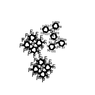 Fc1c(F)c(F)c([B-](c2c(F)c(F)c(F)c(F)c2F)(c2c(F)c(F)c(F)c(F)c2F)c2c(F)c(F)c(F)c(F)c2F)c(F)c1F.Fc1c(F)c(F)c([B-](c2c(F)c(F)c(F)c(F)c2F)(c2c(F)c(F)c(F)c(F)c2F)c2c(F)c(F)c(F)c(F)c2F)c(F)c1F.c1ccc([S+](c2ccccc2)c2ccc([S+](c3ccccc3)c3ccccc3)cc2)cc1